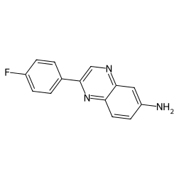 Nc1ccc2nc(-c3ccc(F)cc3)cnc2c1